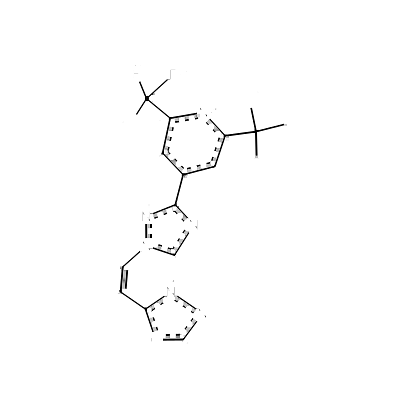 FC(F)(F)c1cc(-c2ncn(/C=C\c3nnco3)n2)cc(C(F)(F)F)n1